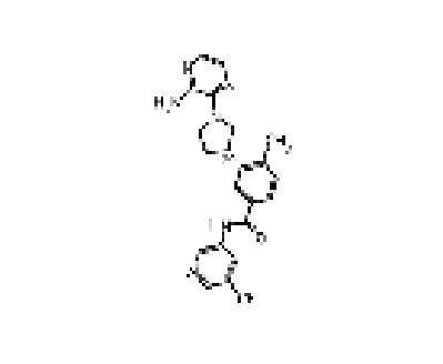 Cc1ccc(C(=O)Nc2cncc(C(F)(F)F)c2)cc1[C@@H]1CCN(c2nccnc2N)C1